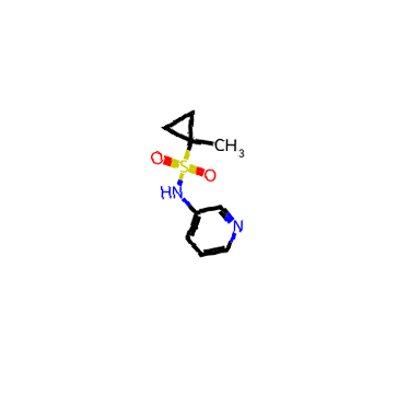 CC1(S(=O)(=O)Nc2cccnc2)CC1